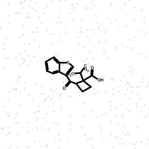 CC(C)C1(C(=O)O)CCC1C(=O)c1csc2ccccc12